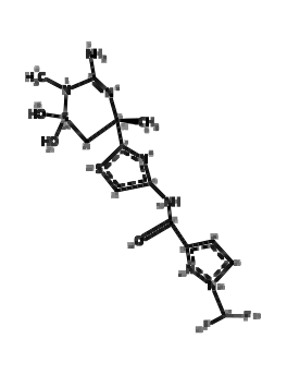 CN1C(N)=N[C@](C)(c2nc(NC(=O)c3ccn(C(F)F)n3)cs2)CS1(O)O